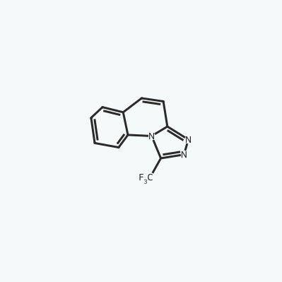 FC(F)(F)c1nnc2ccc3ccccc3n12